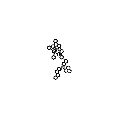 C1=CC2C=CC(N(c3ccc4c(-c5ccc6oc7c(ccc8c9ccc%10c%11ccccc%11c%11ccccc%11c%10c9n(-c9nc(-c%10ccccc%10)cc(-c%10ccccc%10)n9)c87)c6c5)cccc4c3)c3ccc4ccc5c6ccccc6ccc5c4c3)=C3CC=CC(=C1)C32